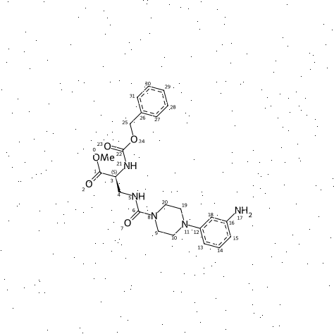 COC(=O)[C@H](CNC(=O)N1CCN(c2cccc(N)c2)CC1)NC(=O)OCc1ccccc1